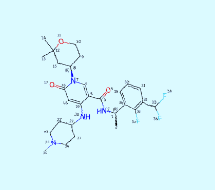 C[C@@H](NC(=O)c1cn([C@@H]2CCOC(C)(C)C2)c(=O)cc1NC1CCN(C)CC1)c1cccc(C(F)F)c1F